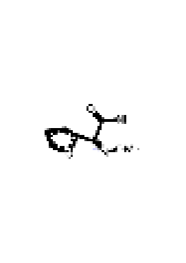 CO/N=C(\C([NH])=O)c1ccco1